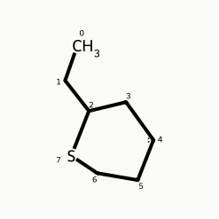 CCC1C[C]CCS1